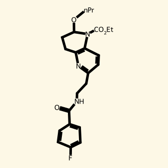 CCCOC1CCc2nc(CCNC(=O)c3ccc(F)cc3)ccc2N1C(=O)OCC